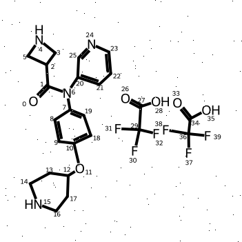 O=C(C1CNC1)N(c1ccc(OC2CCNCC2)cc1)c1cccnc1.O=C(O)C(F)(F)F.O=C(O)C(F)(F)F